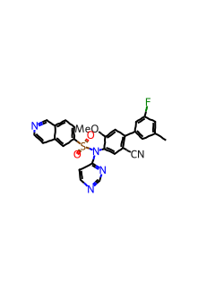 COc1cc(-c2cc(C)cc(F)c2)c(C#N)cc1N(c1ccncn1)S(=O)(=O)c1ccc2cnccc2c1